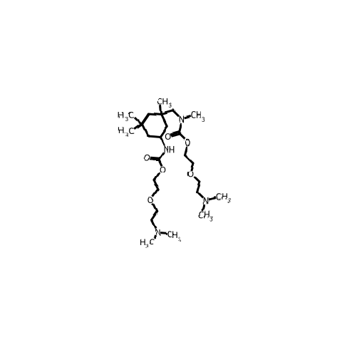 CN(C)CCOCCOC(=O)NC1CC(C)(C)CC(C)(CN(C)C(=O)OCCOCCN(C)C)C1